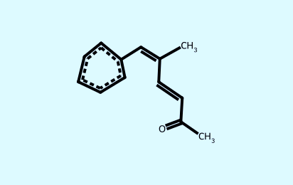 CC(=O)C=CC(C)=Cc1ccccc1